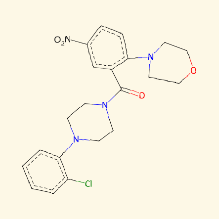 O=C(c1cc([N+](=O)[O-])ccc1N1CCOCC1)N1CCN(c2ccccc2Cl)CC1